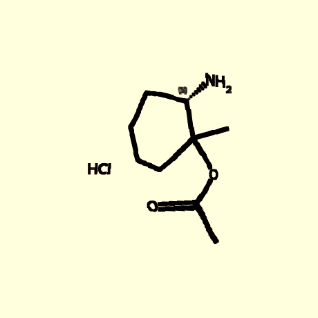 CC(=O)OC1(C)CCCC[C@@H]1N.Cl